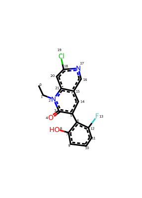 CCn1c(=O)c(-c2c(O)cccc2F)cc2cnc(Cl)cc21